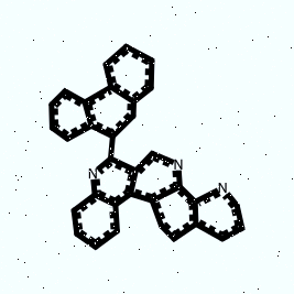 c1ccc2c(c1)cc(-c1nc3ccccc3c3c1cnc1c3ccc3cccnc31)c1ccccc12